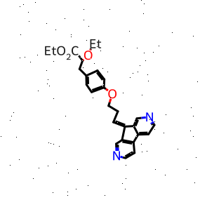 CCOC(=O)C(Cc1ccc(OCCC=C2c3cnccc3-c3ccncc32)cc1)OCC